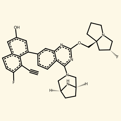 C#Cc1c(F)ccc2cc(O)cc(-c3ccc4c(N5C[C@H]6CC[C@@H](C5)N6)nc(OC[C@@]56CCCN5C[C@H](F)C6)nc4c3)c12